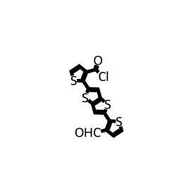 O=Cc1ccsc1-c1cc2sc(-c3sccc3C(=O)Cl)cc2s1